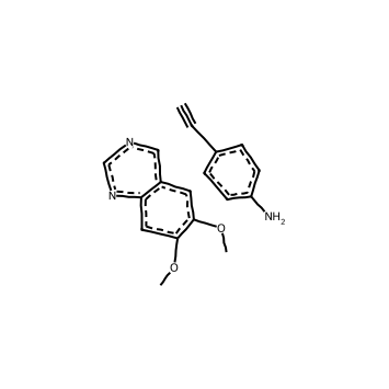 C#Cc1ccc(N)cc1.COc1cc2cncnc2cc1OC